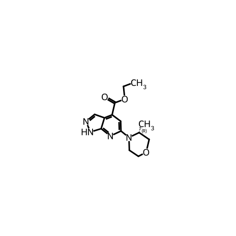 CCOC(=O)c1cc(N2CCOC[C@H]2C)nc2[nH]ncc12